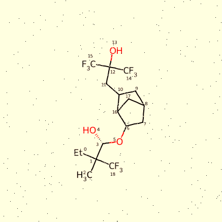 CCC(C)([C@H](O)OC1CC2CC(CC(O)(C(F)(F)F)C(F)(F)F)C1C2)C(F)(F)F